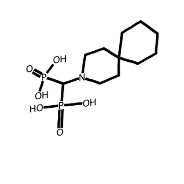 O=P(O)(O)C(N1CCC2(CCCCC2)CC1)P(=O)(O)O